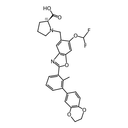 Cc1c(-c2ccc3c(c2)OCCO3)cccc1-c1nc2cc(CN3CCC[C@H]3C(=O)O)c(OC(F)F)cc2o1